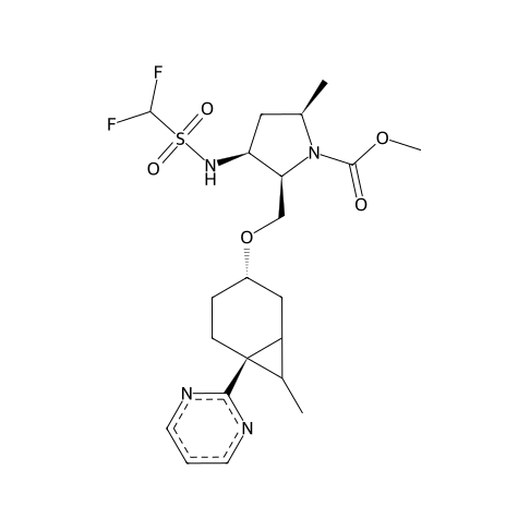 COC(=O)N1[C@H](C)C[C@H](NS(=O)(=O)C(F)F)[C@@H]1CO[C@H]1CC[C@@]2(c3ncccn3)C(C)C2C1